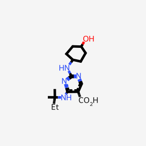 CCC(C)(C)Nc1nc(NC2CCC(O)CC2)ncc1C(=O)O